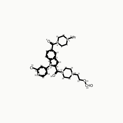 CC(C)N1CCN(C(=O)c2ccc3c(c2)cc(C(=O)N2CCN(CCOC=O)CC2)n3-c2ccnc(Cl)c2)CC1